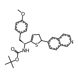 COc1ccc(C[C@H](NC(=O)OC(C)(C)C)C2=CCC(c3ccc4cnccc4c3)S2)cc1